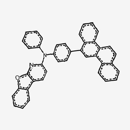 c1ccc(N(c2ccc(-c3cc4c5ccccc5ccc4c4ccccc34)cc2)c2ccc3c(n2)oc2ccccc23)cc1